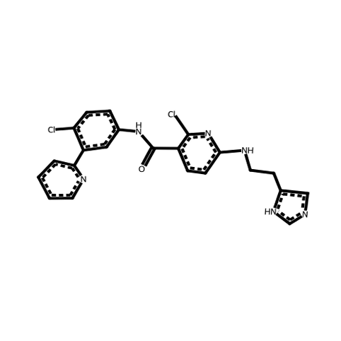 O=C(Nc1ccc(Cl)c(-c2ccccn2)c1)c1ccc(NCCc2cnc[nH]2)nc1Cl